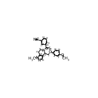 COc1ccc(OCC2c3cnn(C)c3CCN2C(=S)c2cccc(C#N)c2)cc1